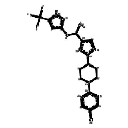 CC(Oc1cc(C(F)(F)F)[nH]n1)c1cnn(C2CCN(c3ncc(Cl)cn3)CC2)n1